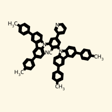 Cc1ccc(-c2ccc3c(c2)c2cc(-c4ccc(C)cc4)ccc2n3-c2cc(-c3cccnc3)cc(-n3c4ccc(-c5ccc(C)cc5)cc4c4cc(-c5ccc(C)cc5)ccc43)c2C#N)cc1